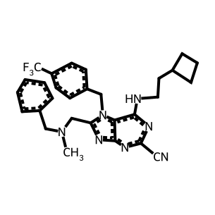 CN(Cc1ccccc1)Cc1nc2nc(C#N)nc(NCCC3CCC3)c2n1Cc1ccc(C(F)(F)F)cc1